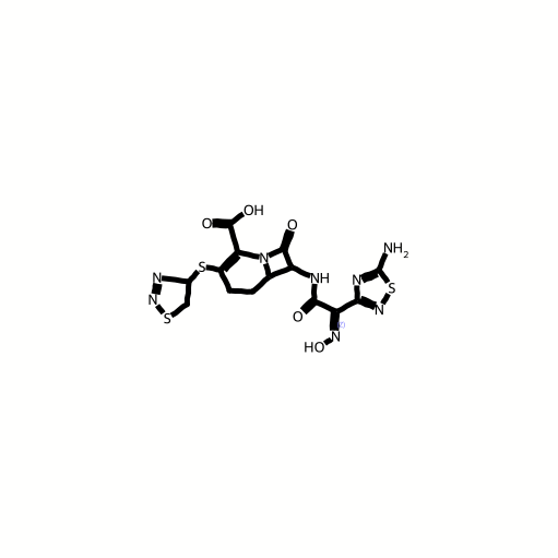 Nc1nc(/C(=N/O)C(=O)NC2C(=O)N3C(C(=O)O)=C(SC4CSN=N4)CCC23)ns1